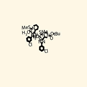 CN=C(SC)N1CCCCC1c1nnn(-c2cccc(Cl)c2)n1.CN=C(SC)N1CCN(C(=O)OC(C)(C)C)CC1c1nc(-c2cccc(Cl)c2)no1